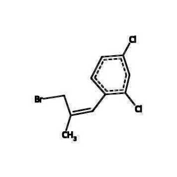 CC(=Cc1ccc(Cl)cc1Cl)CBr